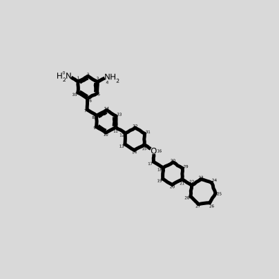 Nc1cc(N)cc(Cc2ccc(C3CCC(OCC4CCC(C5CCCCCC5)CC4)CC3)cc2)c1